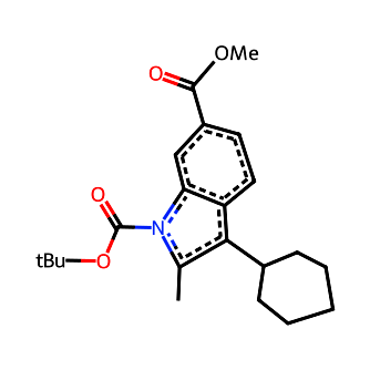 COC(=O)c1ccc2c(C3CCCCC3)c(C)n(C(=O)OC(C)(C)C)c2c1